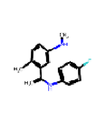 C=C(Nc1ccc(F)cc1)c1cc(NC)ccc1C